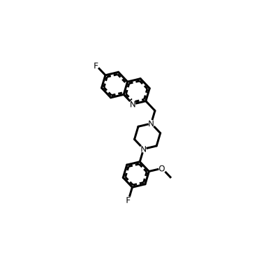 COc1cc(F)ccc1N1CCN(Cc2ccc3cc(F)ccc3n2)CC1